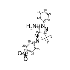 CC(C)(C)c1nn(-c2ccccc2)c(N)c1/N=N/c1ccc([N+](=O)[O-])cc1